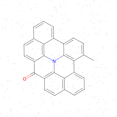 Cc1ccc2c3cccc4ccc5c(=O)c6ccc7cccc8c1c2n(c5c43)c6c78